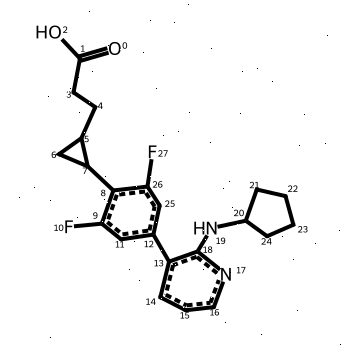 O=C(O)CCC1CC1c1c(F)cc(-c2cccnc2NC2CCCC2)cc1F